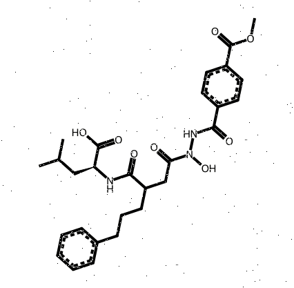 COC(=O)c1ccc(C(=O)NN(O)C(=O)CC(CCCc2ccccc2)C(=O)N[C@@H](CC(C)C)C(=O)O)cc1